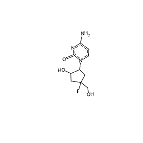 Nc1ccn(C2CC(F)(CO)CC2O)c(=O)n1